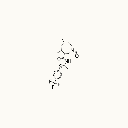 CC1CCN(C=O)CC(C(=O)NC(C)Sc2ccc(C(F)(F)F)cc2)C(C)C1